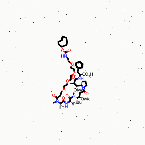 CC[C@H](C)[C@@H]([C@@H](CC(=O)N1CCC[C@H]1[C@H](OC)[C@@H](C)C(=O)N[C@@H](Cc1ccccc1)C(=O)O)OC)N(C)C(=O)[C@@H](NC(=O)[C@H](C(C)C)N(C)C(=O)CCOCCOCCOCCOCCNC(=O)O[C@H]1CC/C=C/CCC1)C(C)C